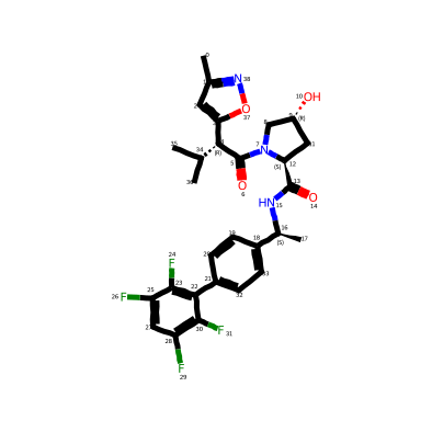 Cc1cc([C@H](C(=O)N2C[C@H](O)C[C@H]2C(=O)N[C@@H](C)c2ccc(-c3c(F)c(F)cc(F)c3F)cc2)C(C)C)on1